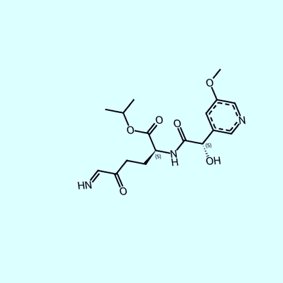 COc1cncc([C@H](O)C(=O)N[C@@H](CCC(=O)C=N)C(=O)OC(C)C)c1